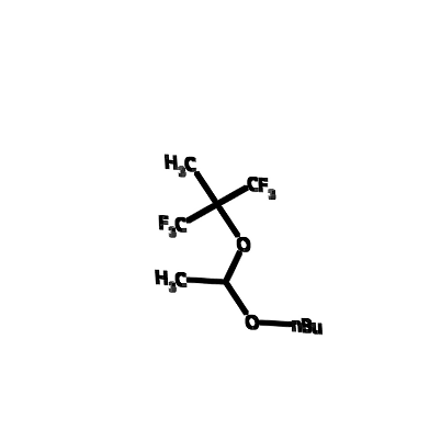 CCCCOC(C)OC(C)(C(F)(F)F)C(F)(F)F